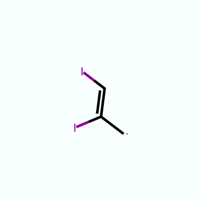 [CH2]C(I)=CI